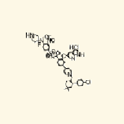 CN(c1ccc(S(=O)(=O)NC(=O)c2ccc(C3C=CN(CC4=C(c5ccc(Cl)cc5)CC(C)(C)CC4)CC3)cc2Oc2cnc3[nH]ccc3c2)cc1[N+](=O)[O-])C1(F)CCNCC1.Cl